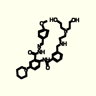 COc1ccc(/C=N/NC(=O)c2cc(N3CCCCC3)ccc2NC(=O)c2cccc(CNCCN(CCO)CCO)c2)cc1